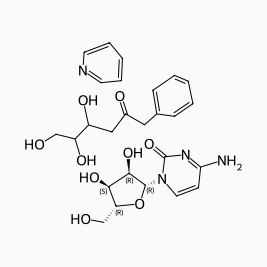 Nc1ccn([C@@H]2O[C@H](CO)[C@@H](O)[C@H]2O)c(=O)n1.O=C(Cc1ccccc1)CC(O)C(O)CO.c1ccncc1